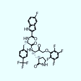 O=C(N[C@@H](Cc1ccc(C(F)(F)F)cc1)C(=O)N[C@@H](C[C@@H]1CCNC1=O)C(=O)COc1c(F)c(F)cc(F)c1F)c1cc2cc(F)ccc2[nH]1